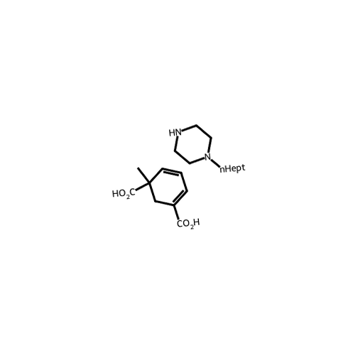 CC1(C(=O)O)C=CC=C(C(=O)O)C1.CCCCCCCN1CCNCC1